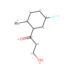 CCC(C)C1CCC(F)CC1C(=O)CCO